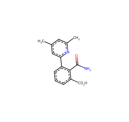 Cc1cc(C)nc(-c2cccc(C(=O)O)c2C(N)=O)c1